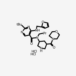 CC(C)CN(C(=O)c1cnc(C(C)(C)C)nc1NCc1ccco1)C1CNCC(C(=O)N2CCOCC2)C1.Cl.Cl